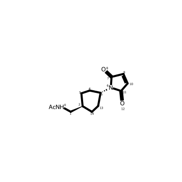 CC(=O)NC[C@H]1CC[C@H](N2C(=O)C=CC2=O)CC1